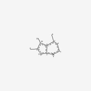 Cc1oc2nccc(C)c2c1C